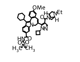 CCN1C[C@@H]2C[C@H]1CN2C(=O)c1cnn(C2CCC2)c1C1=Cc2cc(OC)ccc2-c2c(C3CCCCC3)c3ccc(C(=O)NS(=O)(=O)N(C)C)cc3n2C1